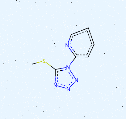 CSc1nnnn1-c1ccccn1